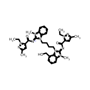 CCn1nc(C)cc1C(=O)N=c1n(C)c2cccc(CO)c2n1CCCCn1/c(=N/C(=O)c2cc(C)nn2CC)n(C)c2ccccc21